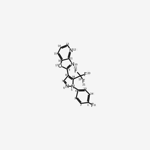 Fc1ccc(-n2ncc(-c3nc4ncccc4o3)c2C(F)(F)F)cc1